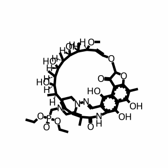 CCOP(=O)(CN1CCN(/N=C/c2c3c(O)c4c(O)c(C)c5c(c4c2O)C(=O)[C@@](C)(O/C=C/[C@H](OC)[C@@H](C)[C@@H](O)[C@H](C)[C@@H](O)[C@H](C)[C@H](O)[C@H](C)/C=C/C=C(/C)C(=O)N3)O5)CC1)OCC